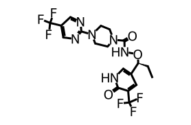 CC[C@H](ONC(=O)N1CCN(c2ncc(C(F)(F)F)cn2)CC1)c1c[nH]c(=O)c(C(F)(F)F)c1